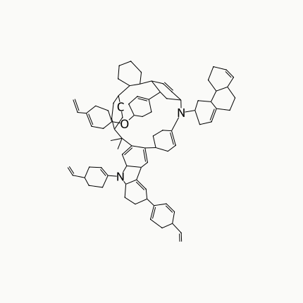 C=CC1=CCC(OC2CC=C(C3CC4C=CC3C3CCCCC3C3CCC(CC3)C(C)(C)C3=CC5C(C=C3C3CC=C(CC3)N4C3CC=C4CCC6C=CCCC6C4C3)C3=CC(C4=CCC(C=C)C=C4)CCC3N5C3=CCC(C=C)CC3)CC2)CC1